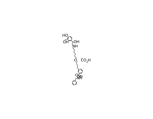 CC(=O)O.O=S(=O)(NCc1ccccc1)c1cccc(CCCCOCCCCCCNC[C@H](O)c2ccc(O)c(CO)c2)c1